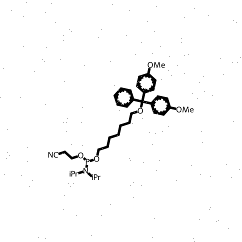 COc1ccc(C(OCCCCCCCOP(OCCC#N)N(C(C)C)C(C)C)(c2ccccc2)c2ccc(OC)cc2)cc1